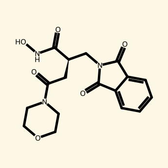 O=C(NO)[C@H](CC(=O)N1CCOCC1)CN1C(=O)c2ccccc2C1=O